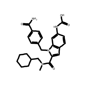 CN(CC1CCCCC1)C(=O)c1cc2ccc(NC(=O)O)cc2n1Cc1ccc(C(N)=O)cc1